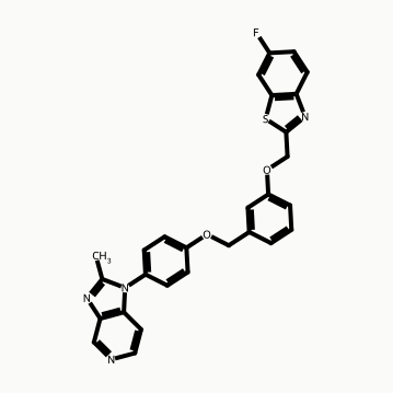 Cc1nc2cnccc2n1-c1ccc(OCc2cccc(OCc3nc4ccc(F)cc4s3)c2)cc1